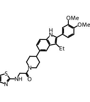 CCc1c(-c2ccc(OC)c(OC)c2)[nH]c2ccc(C3CCN(C(=O)CNc4nccs4)CC3)cc12